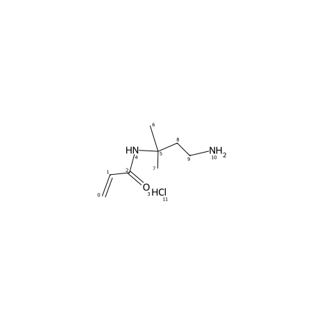 C=CC(=O)NC(C)(C)CCN.Cl